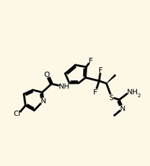 C/N=C(/N)S[C@H](C)C(F)(F)c1cc(NC(=O)c2ccc(Cl)cn2)ccc1F